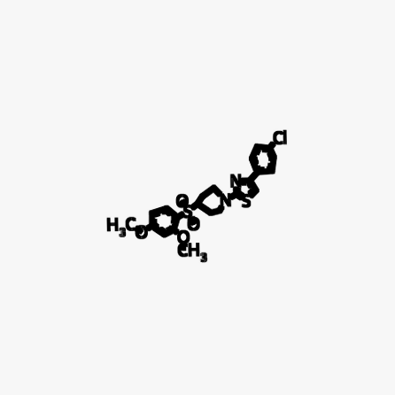 COc1ccc(S(=O)(=O)C2CCN(c3nc(-c4ccc(Cl)cc4)cs3)CC2)c(OC)c1